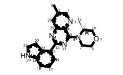 Cc1cnc2c(N3CCOC[C@H]3C)nc(-c3cccc4[nH]ccc34)nc2c1